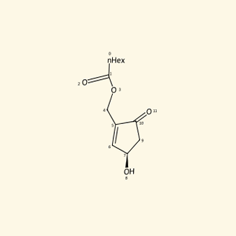 CCCCCCC(=O)OCC1=C[C@H](O)CC1=O